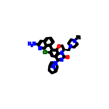 CCN1CCN(C[C@H]2COc3c(-c4cccc5cc(N)ncc45)c(Cl)cc4c(N5CC6CCC(C5)N6)nc(=O)n2c34)CC1